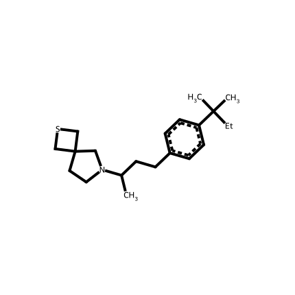 CCC(C)(C)c1ccc(CCC(C)N2CCC3(CSC3)C2)cc1